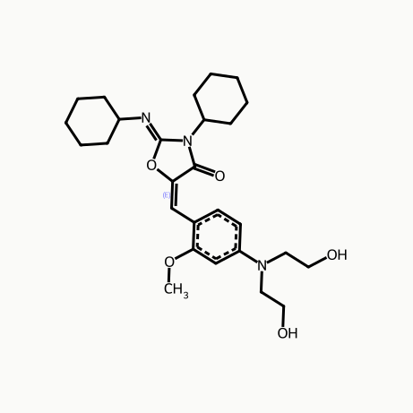 COc1cc(N(CCO)CCO)ccc1/C=C1/OC(=NC2CCCCC2)N(C2CCCCC2)C1=O